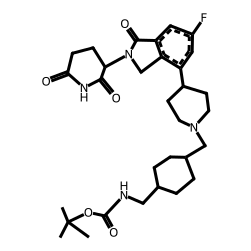 CC(C)(C)OC(=O)NCC1CCC(CN2CCC(c3cc(F)cc4c3CN(C3CCC(=O)NC3=O)C4=O)CC2)CC1